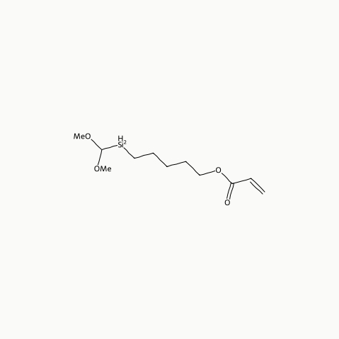 C=CC(=O)OCCCCC[SiH2]C(OC)OC